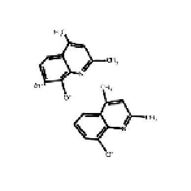 Cc1cc(C)c2cccc([O-])c2n1.Cc1cc(C)c2cccc([O-])c2n1.[Zn+2]